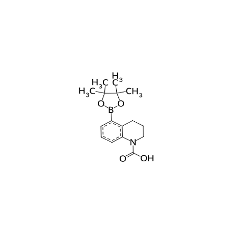 CC1(C)OB(c2cccc3c2CCCN3C(=O)O)OC1(C)C